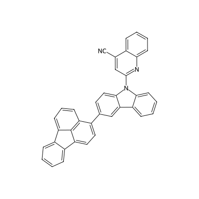 N#Cc1cc(-n2c3ccccc3c3cc(-c4ccc5c6c(cccc46)-c4ccccc4-5)ccc32)nc2ccccc12